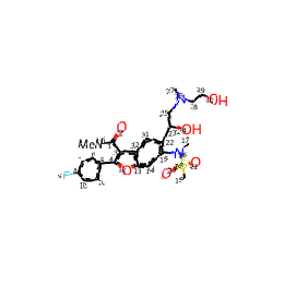 CNC(=O)c1c(-c2ccc(F)cc2)oc2cc(N(C)S(C)(=O)=O)c(C(O)CN(C)CCO)cc12